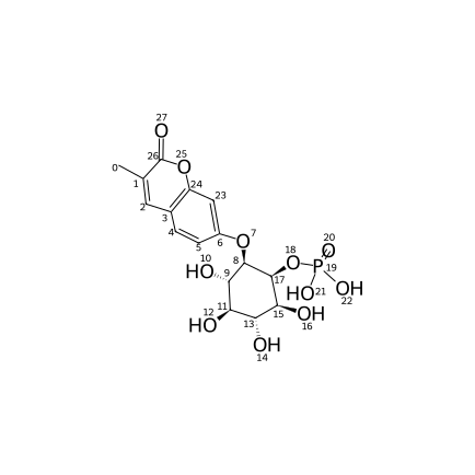 Cc1cc2ccc(O[C@@H]3[C@@H](O)[C@H](O)[C@@H](O)[C@H](O)[C@@H]3OP(=O)(O)O)cc2oc1=O